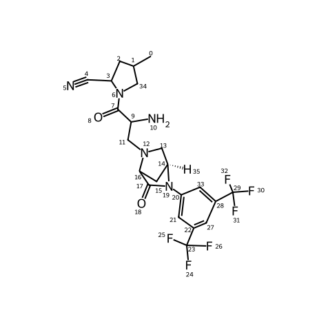 CC1CC(C#N)N(C(=O)C(N)CN2C[C@@H]3CC2C(=O)N3c2cc(C(F)(F)F)cc(C(F)(F)F)c2)C1